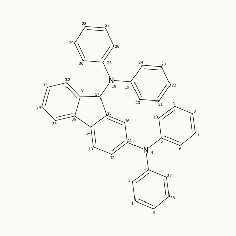 c1ccc(N(c2ccccc2)c2ccc3c(c2)C(N(c2ccccc2)c2ccccc2)c2ccccc2-3)cc1